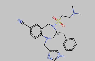 CN(C)CCS(=O)(=O)N1Cc2cc(C#N)ccc2N(Cc2c[nH]cn2)C[C@H]1Cc1ccccc1